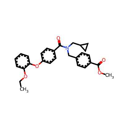 CCOc1ccccc1Oc1ccc(C(=O)N(Cc2ccc(C(=O)OC)cc2)CC2CC2)cc1